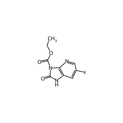 CCOC(=O)n1c(=O)[nH]c2cc(I)cnc21